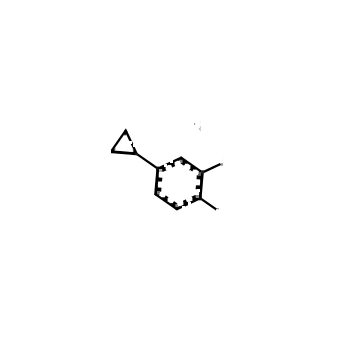 Fc1ccc(C2CC2)cc1F.N